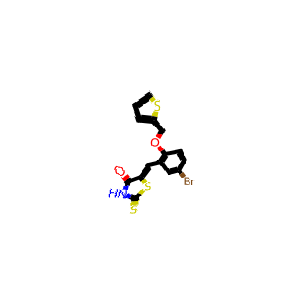 O=C1NC(=S)S/C1=C\c1cc(Br)ccc1OCc1cccs1